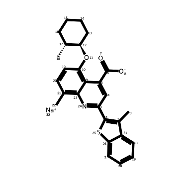 Cc1c(-c2cc(C(=O)[O-])c3c(O[C@@H]4CCCC[C@H]4C)ccc(C)c3n2)sc2ccccc12.[Na+]